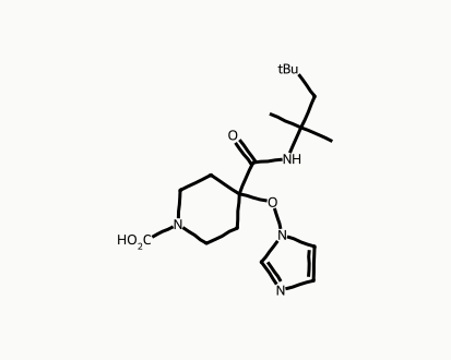 CC(C)(C)CC(C)(C)NC(=O)C1(On2ccnc2)CCN(C(=O)O)CC1